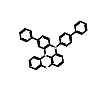 c1ccc(-c2ccc(N3c4ccc(-c5ccccc5)cc4B4c5ccccc5Oc5cccc3c54)cc2)cc1